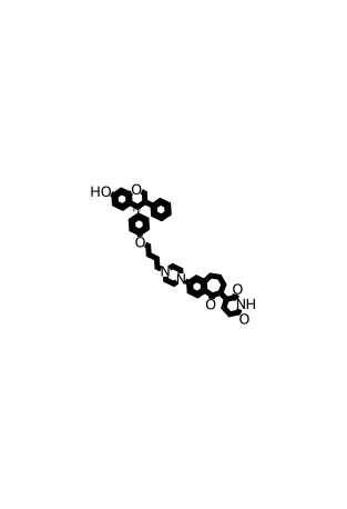 O=C1CCC(C2CCCc3cc(N4CCN(CCCCOc5ccc([C@@H]6c7ccc(O)cc7OCC6c6ccccc6)cc5)CC4)ccc3C2=O)C(=O)N1